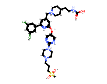 CS(=O)(=O)CCCN1CCN(c2ncc(Oc3cc(CN4CCC(CCNC(=O)O)CC4)cc(-c4cc(Cl)cc(Cl)c4)n3)cn2)CC1